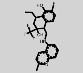 CCC1CC(O)(C(F)(F)F)C(CNc2cccc3nc(C)ccc23)c2ccc(F)c(O)c21